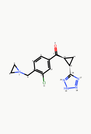 O=C(c1ccc(CN2CC2)c(Cl)c1)[C@H]1C[C@@H]1c1nn[nH]n1